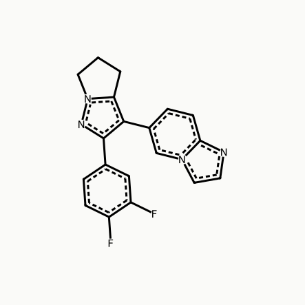 Fc1ccc(-c2nn3c(c2-c2ccc4nccn4c2)CCC3)cc1F